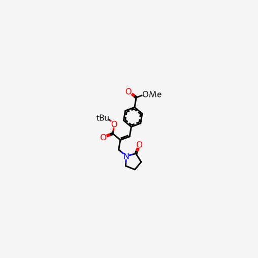 COC(=O)c1ccc(C=C(CN2CCCC2=O)C(=O)OC(C)(C)C)cc1